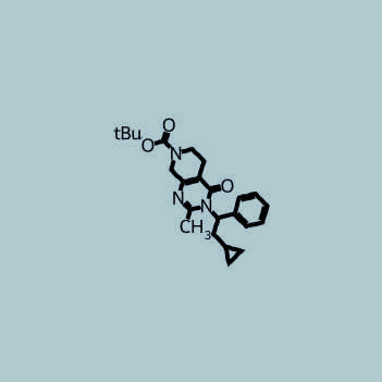 Cc1nc2c(c(=O)n1C(CC1CC1)c1ccccc1)CCN(C(=O)OC(C)(C)C)C2